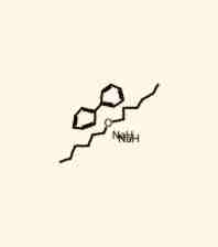 CCCCCCOCCCCCC.[NaH].[NaH].c1ccc(-c2ccccc2)cc1